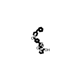 CC1(C(=O)N2CCCC2CO)CC(c2ccc(C(=O)N3CCC(Cc4ccccc4)CC3)cc2)=NO1